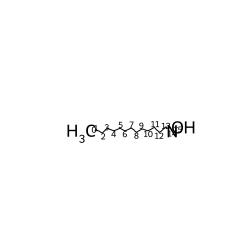 CCCCCCCCCCCCCC=NO